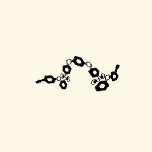 C#Cc1ccc(Oc2ccccc2S(=O)(=O)c2ccc(Oc3ccc(Oc4ccc(S(=O)(=O)c5ccccc5Oc5cccc(C#C)c5)cc4)cc3)cc2)cc1